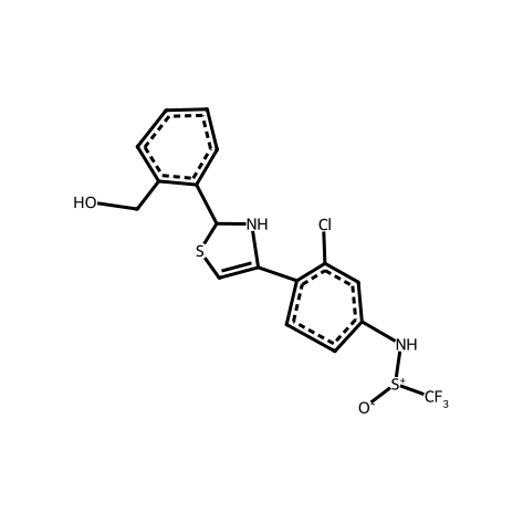 [O-][S+](Nc1ccc(C2=CSC(c3ccccc3CO)N2)c(Cl)c1)C(F)(F)F